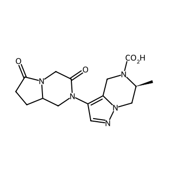 C[C@H]1Cn2ncc(N3CC4CCC(=O)N4CC3=O)c2CN1C(=O)O